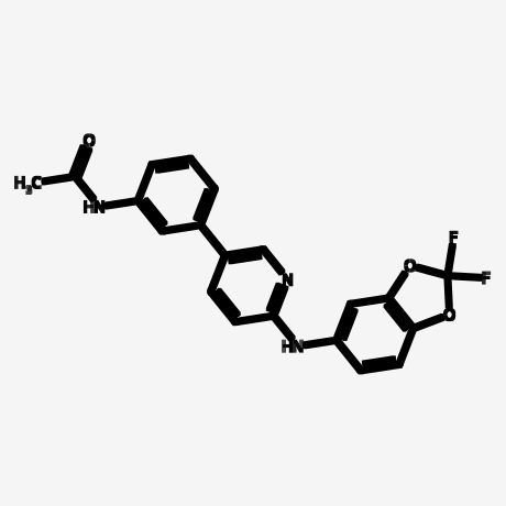 CC(=O)Nc1cccc(-c2ccc(Nc3ccc4c(c3)OC(F)(F)O4)nc2)c1